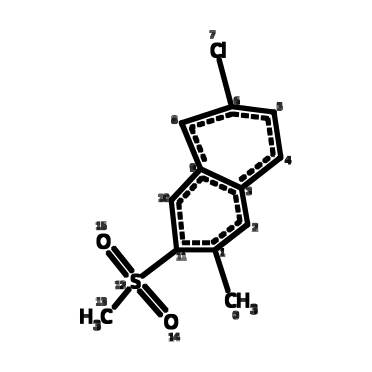 Cc1cc2ccc(Cl)cc2cc1S(C)(=O)=O